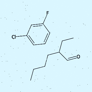 CCCCC(C=O)CC.Fc1cccc(Cl)c1